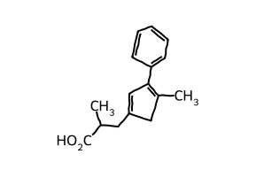 CC1=C(c2ccccc2)C=C(CC(C)C(=O)O)C1